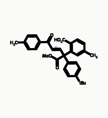 COC(=O)C(/C=C/C(=O)c1ccc(C)cc1)(c1ccc(C(C)(C)C)cc1)c1cc(C)ccc1C(=O)O